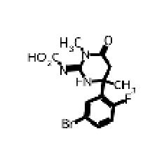 CN1C(=O)CC(C)(c2cc(Br)ccc2F)N/C1=N/C(=O)O